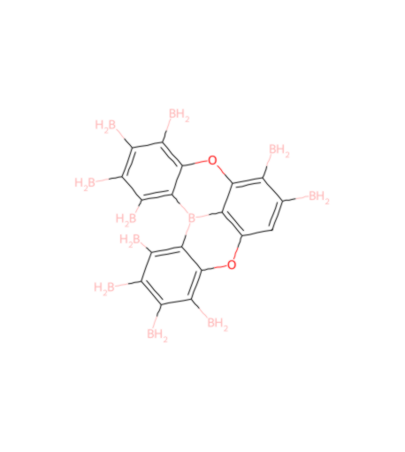 Bc1cc2c3c(c1B)Oc1c(B)c(B)c(B)c(B)c1B3c1c(B)c(B)c(B)c(B)c1O2